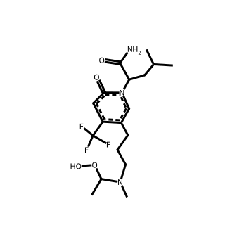 CC(C)CC(C(N)=O)n1cc(CCCN(C)C(C)OO)c(C(F)(F)F)cc1=O